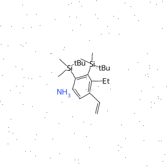 C=Cc1ccc([Si](C)(C)C(C)(C)C)c([Si](C)(C)C(C)(C)C)c1CC.N